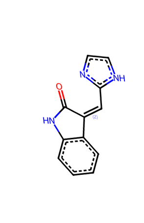 O=C1Nc2ccccc2/C1=C/c1ncc[nH]1